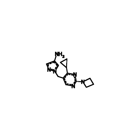 Nc1cnn(Cc2cnc(N3CCC3)nc2C2CC2)c1